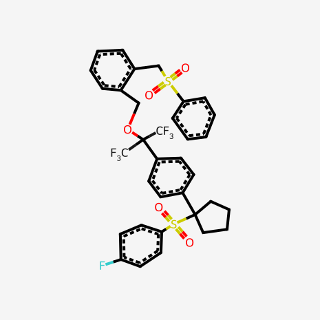 O=S(=O)(Cc1ccccc1COC(c1ccc(C2(S(=O)(=O)c3ccc(F)cc3)CCCC2)cc1)(C(F)(F)F)C(F)(F)F)c1ccccc1